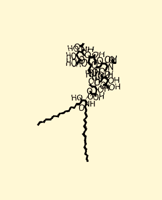 CCCCCCCCCCCCC/C=C/[C@@H](O)[C@H](CO[C@@H]1OC(CO)[C@@H](O[C@@H]2OC(CO)[C@H](O)[C@H](O[C@@H]3OC(CO)[C@@H](O[C@@H]4OC(CO)[C@H](O)[C@H](O[C@H]5OC(CO)[C@@H](O)[C@H](O)C5NC(C)=O)C4O)[C@H](O)C3NC(C)=O)C2O)[C@H](O)C1O)NC(=O)CCCCCCCCCCCCCCCCC